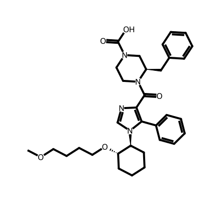 COCCCCO[C@H]1CCCC[C@@H]1n1cnc(C(=O)N2CCN(C(=O)O)C[C@H]2Cc2ccccc2)c1-c1ccccc1